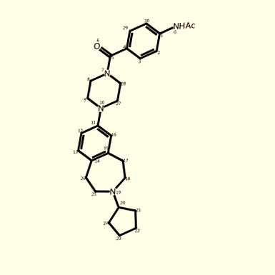 CC(=O)Nc1ccc(C(=O)N2CCN(c3ccc4c(c3)CCN(C3CCCC3)CC4)CC2)cc1